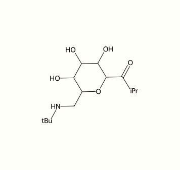 CC(C)C(=O)C1OC(CNC(C)(C)C)C(O)C(O)C1O